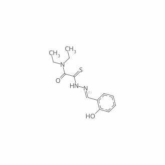 CCN(CC)C(=O)C(=S)N/N=C/c1ccccc1O